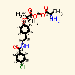 CC(N)C(=O)OCOC(=O)C(C)(C)Oc1ccc(CCNC(=O)c2ccc(Cl)cc2)cc1